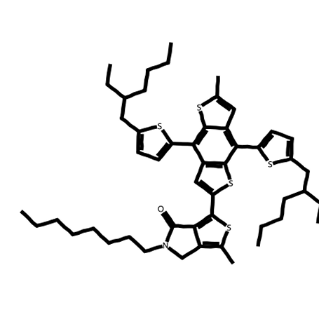 CCCCCCCCN1Cc2c(C)sc(-c3cc4c(-c5ccc(CC(CC)CCCC)s5)c5sc(C)cc5c(-c5ccc(CC(CC)CCCC)s5)c4s3)c2C1=O